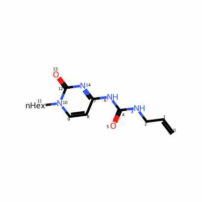 C=CCNC(=O)Nc1ccn(CCCCCC)c(=O)n1